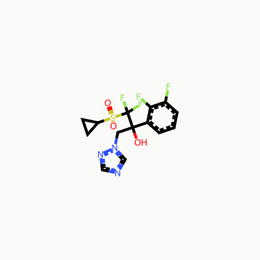 O=S(=O)(C1CC1)C(F)(F)C(O)(Cn1cncn1)c1cccc(F)c1F